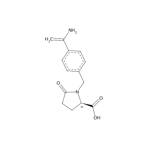 C=C(N)c1ccc(CN2C(=O)CC[C@@H]2C(=O)O)cc1